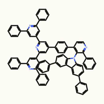 c1ccc(-c2ccc3c(c2)c2cc(-c4ccccc4)ccc2n3-c2c(-c3ccc(-c4cc(-c5cc(-c6ccccc6)nc(-c6ccccc6)c5)nc(-c5cc(-c6ccccc6)nc(-c6ccccc6)c5)c4)cc3)ccnc2-c2ccccc2)cc1